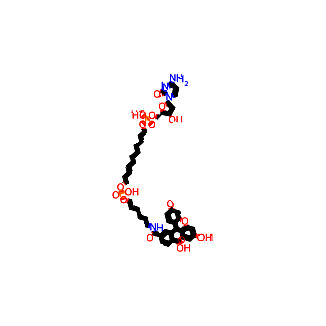 Nc1ccn([C@H]2C[C@@H](O)[C@@H](COP(=O)(O)OCCCCCCCCCCCOP(=O)(O)OCCCCCCNC(=O)c3ccc(C(=O)O)c(-c4c5ccc(=O)cc-5oc5cc(O)ccc45)c3)O2)c(=O)n1